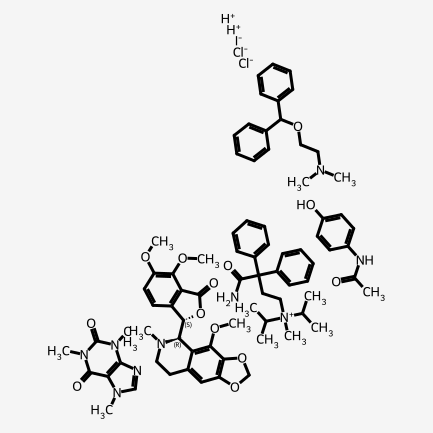 CC(=O)Nc1ccc(O)cc1.CC(C)[N+](C)(CCC(C(N)=O)(c1ccccc1)c1ccccc1)C(C)C.CN(C)CCOC(c1ccccc1)c1ccccc1.COc1ccc2c(c1OC)C(=O)O[C@@H]2[C@H]1c2c(cc3c(c2OC)OCO3)CCN1C.Cn1c(=O)c2c(ncn2C)n(C)c1=O.[Cl-].[Cl-].[H+].[H+].[I-]